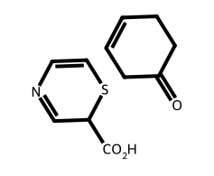 O=C(O)C1C=NC=CS1.O=C1CC=CCC1